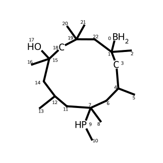 BC1(C)CC(C)CC(C)(PC)CC(C)CC(C)(O)CC(C)(C)C1